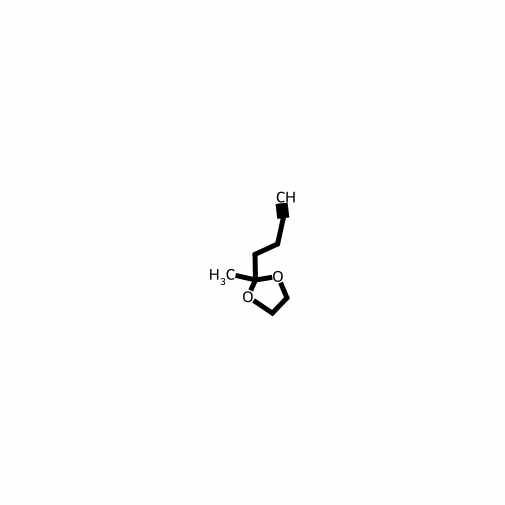 C#CCCC1(C)OCCO1